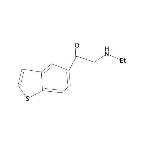 CCNCC(=O)c1ccc2sccc2c1